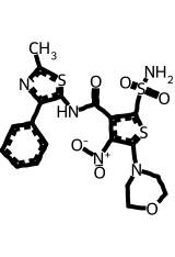 Cc1nc(-c2ccccc2)c(NC(=O)c2c(S(N)(=O)=O)sc(N3CCOCC3)c2[N+](=O)[O-])s1